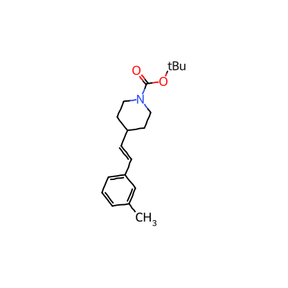 Cc1cccc(/C=C/C2CCN(C(=O)OC(C)(C)C)CC2)c1